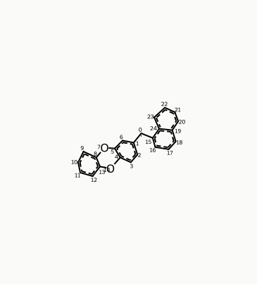 [CH](c1ccc2c(c1)Oc1ccccc1O2)c1cccc2ccccc12